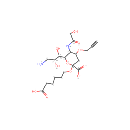 C#CCOC1CC(OCCCCCC(=O)O)(C(=O)O)OC([C@H](O)[C@H](O)CN)C1NC(=O)CO